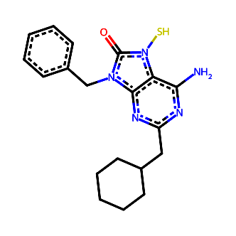 Nc1nc(CC2CCCCC2)nc2c1n(S)c(=O)n2Cc1ccccc1